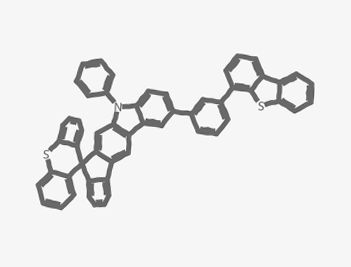 c1ccc(-n2c3ccc(-c4cccc(-c5cccc6c5sc5ccccc56)c4)cc3c3cc4c(cc32)C2(c3ccccc3Sc3ccccc32)c2ccccc2-4)cc1